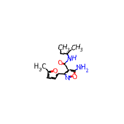 CCC(C)NC(=O)c1c(-c2ccc(C)o2)noc1N